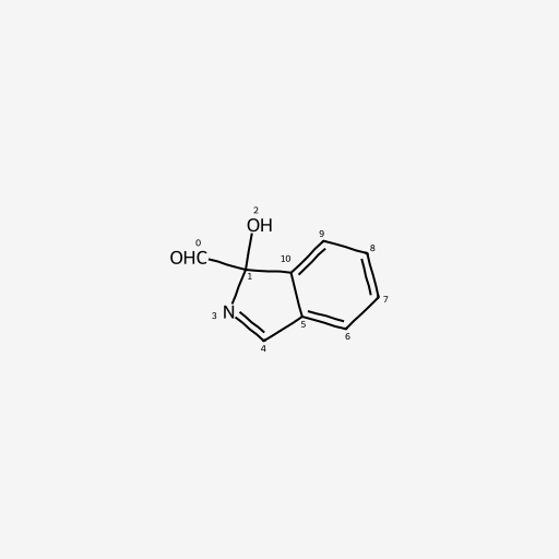 O=CC1(O)N=Cc2ccccc21